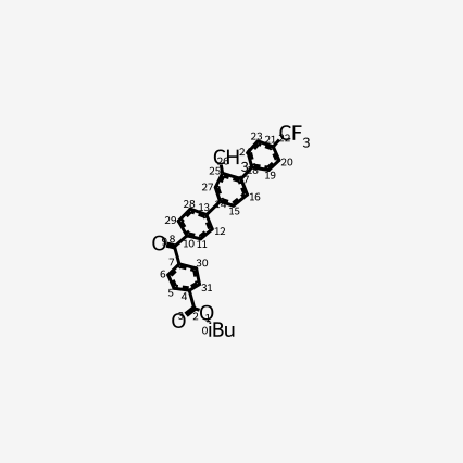 CCC(C)OC(=O)c1ccc(C(=O)c2ccc(-c3ccc(-c4ccc(C(F)(F)F)cc4)c(C)c3)cc2)cc1